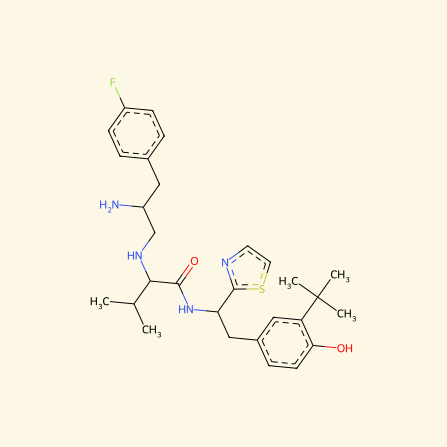 CC(C)C(NCC(N)Cc1ccc(F)cc1)C(=O)NC(Cc1ccc(O)c(C(C)(C)C)c1)c1nccs1